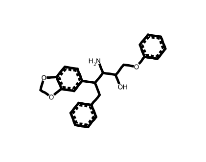 NC(C(O)COc1ccccc1)C(Cc1ccccc1)c1ccc2c(c1)OCO2